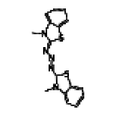 CN1c2ccccc2SC1N=NN=c1sc2ccccc2n1C